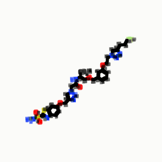 NS(=O)(=O)c1nc2ccc(OCc3cn(CC(=O)N[C@H](COCc4cccc(OCCn5cc(CCC[18F])nn5)c4)C(=O)O)nn3)cc2s1